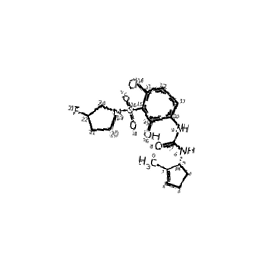 CC1=CCC[C@H]1NC(=O)Nc1ccc(Cl)c(S(=O)(=O)N2CCC(F)C2)c1O